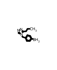 Bc1ccc(Cn2cnnc2CCC)cc1